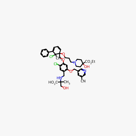 CCOC(=O)C1(O)CCN(CCCOC2(COc3cc(OCc4cncc(C#N)c4)c(CNC(C)(CO)C(=O)O)cc3Cl)C=CC=C(c3ccccc3)C2(C)Cl)CC1